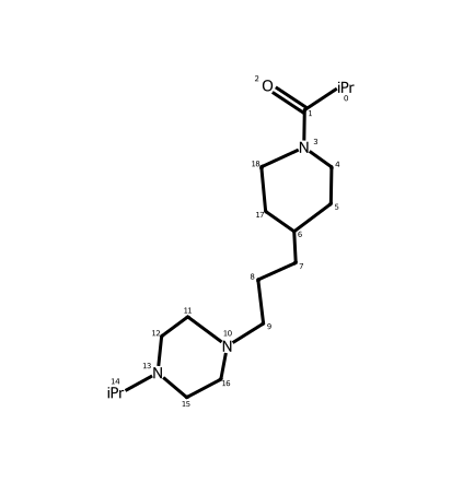 CC(C)C(=O)N1CCC(CCCN2CCN(C(C)C)CC2)CC1